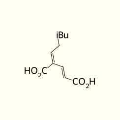 CCC(C)CC=C(C=CC(=O)O)C(=O)O